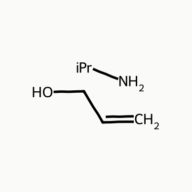 C=CCO.CC(C)N